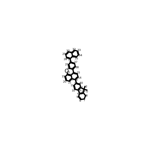 CC1(C)C2=C(C=CCC2)c2ccc(-c3ccc4c5c(cccc35)Oc3cc(-c5cccc6ccccc56)ccc3-4)cc21